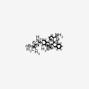 CCCCC(C)(C)C(=O)N=C(N)N1CC=C(CN([C@H](Cc2ccccc2)C(=O)N2CCC[C@H]2C(N)=O)S(C)(=O)=O)CC1